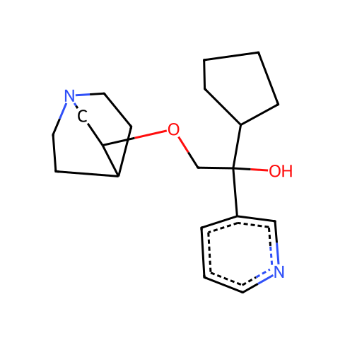 OC(COC1CN2CCC1CC2)(c1cccnc1)C1CCCC1